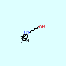 C[C@]12C[C@H]3CC(NCCCCCCO)(C1)C[C@@](C)(C3)C2